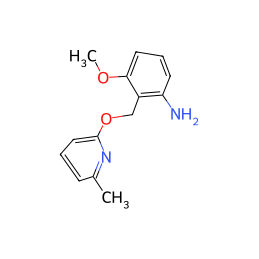 COc1cccc(N)c1COc1cccc(C)n1